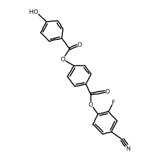 N#Cc1ccc(OC(=O)c2ccc(OC(=O)c3ccc(O)cc3)cc2)c(F)c1